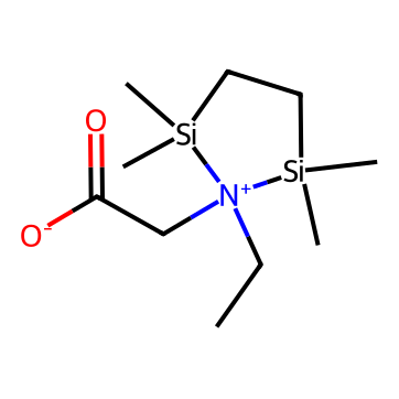 CC[N+]1(CC(=O)[O-])[Si](C)(C)CC[Si]1(C)C